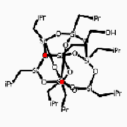 CC(C)C[Si]12O[Si]3(CCCO)O[Si](CC(C)C)(O1)O[Si]1(CC(C)C)O[Si]4(CC(C)C)O[Si](CC(C)C)(O3)O[Si](CC(C)C)(O2)O[Si](CC(C)C)(O1)O4